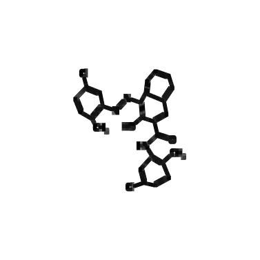 Cc1ccc(Cl)cc1N=Nc1c(O)c(C(=O)Nc2cc(Cl)ccc2C)cc2ccccc12